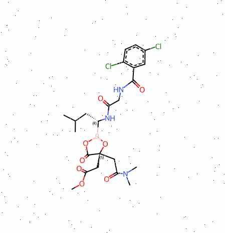 COC(=O)C[C@]1(CC(=O)N(C)C)OB([C@H](CC(C)C)NC(=O)CNC(=O)c2cc(Cl)ccc2Cl)OC1=O